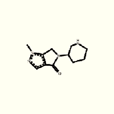 Cn1ncc2c1CN(C1CCCNC1)C2=O